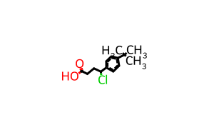 CC(C)(C)c1ccc(C(Cl)CCC(=O)O)cc1